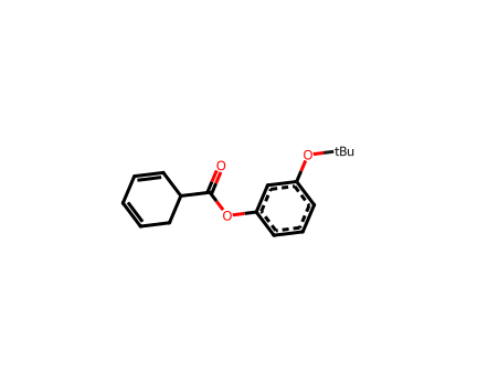 CC(C)(C)Oc1cccc(OC(=O)C2C=CC=CC2)c1